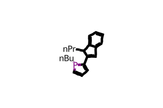 CCCCp1cccc1C1=Cc2ccccc2[C]1CCC